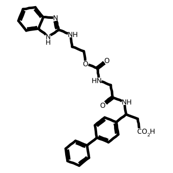 O=C(O)CC(NC(=O)CNC(=O)OCCNc1nc2ccccc2[nH]1)c1ccc(-c2ccccc2)cc1